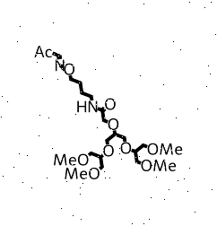 COCC(COC)OCC(COC(COC)COC)OCC(=O)NCCCCO/N=C/C(C)=O